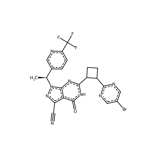 C[C@@H](c1ccc(C(F)(F)F)nc1)n1nc(C#N)c2c(=O)[nH]c(C3CCC3c3ncc(Br)cn3)nc21